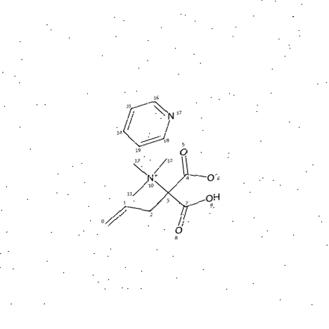 C=CCC(C(=O)[O-])(C(=O)O)[N+](C)(C)C.c1ccncc1